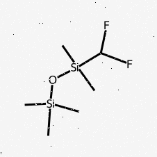 C[Si](C)(C)O[Si](C)(C)C(F)F